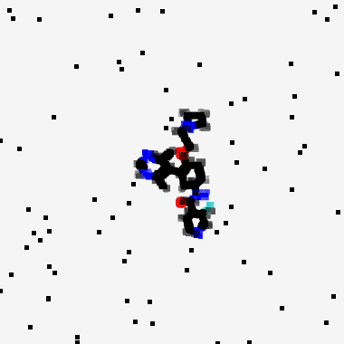 Cc1ncnc(C)c1-c1cc(NC(=O)c2ccncc2F)ccc1OCCN1CCC1